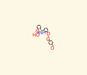 O=Cc1ccc(OCCOc2cccc([C@@H](NC(=O)O)c3ccccc3)c2)cc1